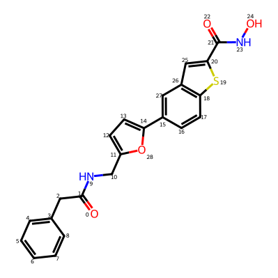 O=C(Cc1ccccc1)NCc1ccc(-c2ccc3sc(C(=O)NO)cc3c2)o1